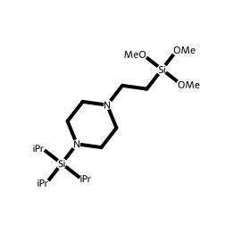 CO[Si](CCN1CCN([Si](C(C)C)(C(C)C)C(C)C)CC1)(OC)OC